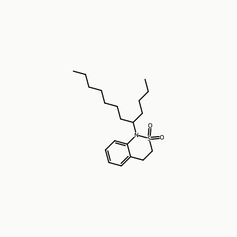 CCCCCCCC(CCCC)N1c2ccccc2CCS1(=O)=O